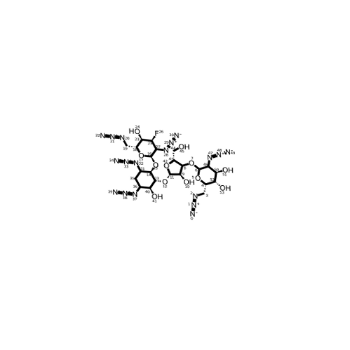 [N-]=[N+]=NC[C@@H]1OC(OC2[C@@H](O)[C@H](O[C@H]3[C@H](O[C@H]4O[C@H](CN=[N+]=[N-])[C@@H](O)[C@@H](F)C4N=[N+]=[N-])C(N=[N+]=[N-])CC(N=[N+]=[N-])[C@@H]3O)O[C@@H]2CO)C(N=[N+]=[N-])[C@@H](O)[C@@H]1O